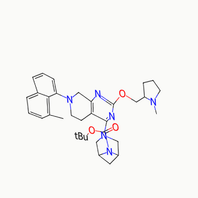 Cc1cccc2cccc(N3CCc4c(nc(OCC5CCCN5C)nc4N4CC5CC(C4)N5C(=O)OC(C)(C)C)C3)c12